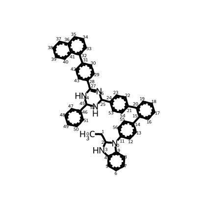 CCC1Nc2ccccc2N1c1ccc(-c2ccccc2-c2ccc(C3N=C(c4ccc(-c5cccc6ccccc56)cc4)NC(c4ccccc4)N3)cc2)cc1